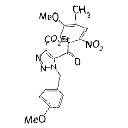 CCOC(=O)c1nnn(Cc2ccc(OC)cc2)c1C(=O)c1cc(OC)c(C)cc1[N+](=O)[O-]